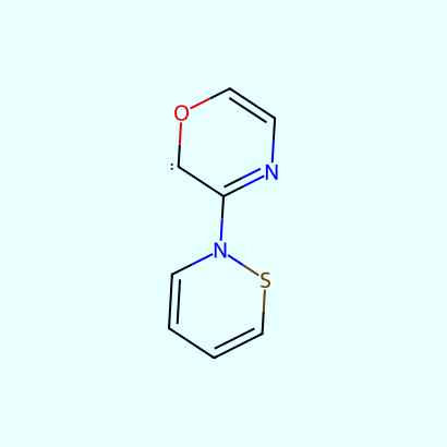 [C]1OC=CN=C1N1C=CC=CS1